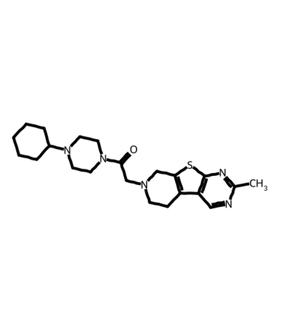 Cc1ncc2c3c(sc2n1)CN(CC(=O)N1CCN(C2CCCCC2)CC1)CC3